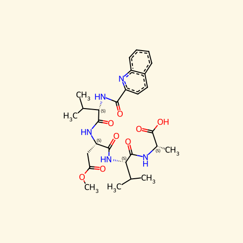 COC(=O)C[C@H](NC(=O)[C@@H](NC(=O)c1ccc2ccccc2n1)C(C)C)C(=O)N[C@H](C(=O)N[C@@H](C)C(=O)O)C(C)C